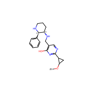 CC(C)OC1CC1c1ncc(CN[C@@H]2CCCN[C@@H]2c2ccccc2)c(O)n1